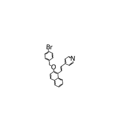 Brc1ccc(COc2ccc3ccccc3c2/C=C/c2ccncc2)cc1